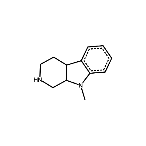 CN1c2ccccc2C2CCNCC21